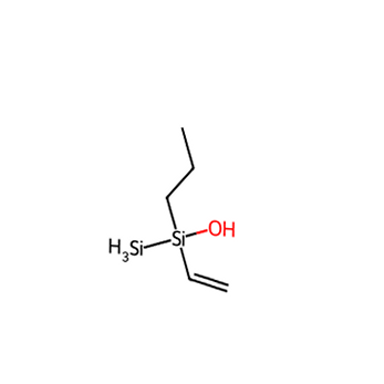 C=C[Si](O)([SiH3])CCC